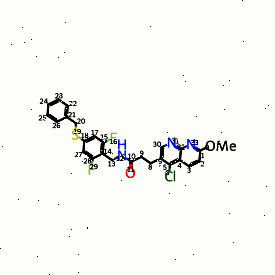 COc1ccc2c(Cl)c(CCC(=O)NCc3c(F)cc(SCc4ccccc4)cc3F)cnc2n1